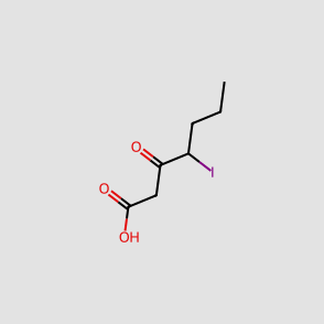 CCCC(I)C(=O)CC(=O)O